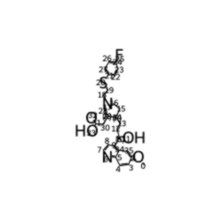 COc1ccc2nccc([C@@H](O)CC[C@@H]3CCN(CCSc4ccc(F)cc4)C[C@@H]3CC(=O)O)c2c1